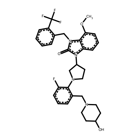 COc1cccc2c1n(Cc1ccccc1C(F)(F)F)c(=O)n2C1CCN(c2c(F)cccc2CN2CCC(O)CC2)C1